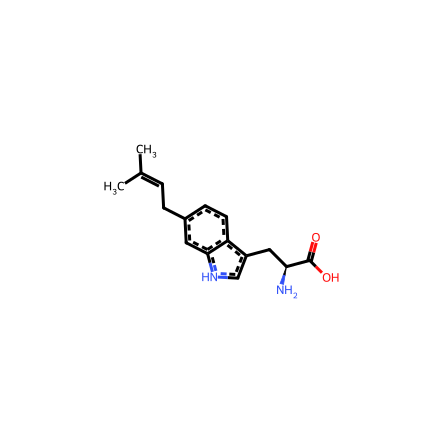 CC(C)=CCc1ccc2c(C[C@H](N)C(=O)O)c[nH]c2c1